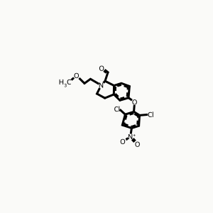 COCCN1CCc2cc(Oc3c(Cl)cc([N+](=O)[O-])cc3Cl)ccc2C1C=O